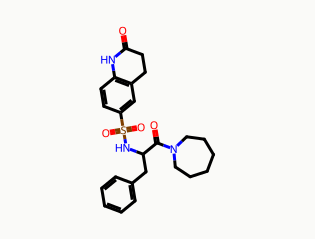 O=C1CCc2cc(S(=O)(=O)NC(Cc3ccccc3)C(=O)N3CCCCCC3)ccc2N1